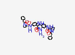 NC(=O)c1c(-c2ccc(NC(=O)[C@@H]3CCCN3C(=O)Cc3ccccc3)cc2)[nH]c2ccc(NC(=O)[C@@H]3CCCN3C(=O)Cc3ccccc3)cc12